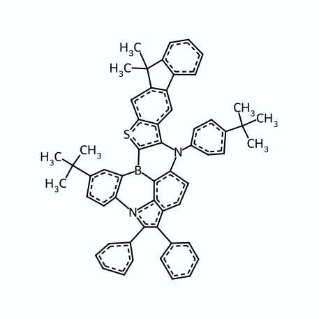 CC(C)(C)c1ccc(N2c3ccc4c(-c5ccccc5)c(-c5ccccc5)n5c4c3B(c3cc(C(C)(C)C)ccc3-5)c3sc4cc5c(cc4c32)-c2ccccc2C5(C)C)cc1